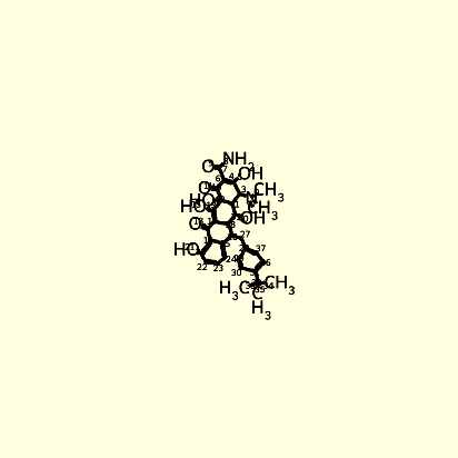 CN(C)C1C(O)=C(C(N)=O)C(=O)C2(O)C(O)=C3C(=O)c4c(O)cccc4C(Cc4ccc(C(C)(C)C)cc4)C3C(O)C12